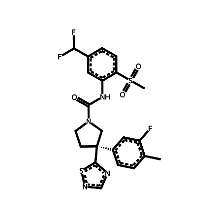 Cc1ccc([C@]2(c3ncns3)CCN(C(=O)Nc3cc(C(F)F)ccc3S(C)(=O)=O)C2)cc1F